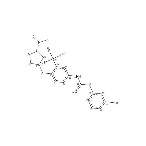 CN(C)[C@H]1CCN(Cc2ccc(NC(=O)Cc3cccc(I)c3)cc2C(F)(F)F)C1